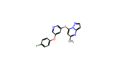 Cc1cc(Sc2cncc(Oc3ccc(F)cc3)c2)n2nccc2n1